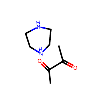 C1CNCCN1.CC(=O)C(C)=O